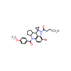 O=C(O)CCC(=O)NC1(C2c3cc(Br)ccc3N(C(=O)c3ccc(OC(F)(F)F)cc3)C3CCCC32)CC1